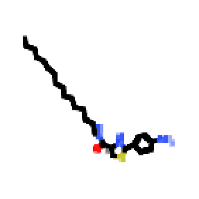 CCCCCCCCCCCCCCCCNC(=O)[C@@H]1CSC(c2ccc(N)cc2)N1